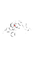 CC[C@]1(CO)O[C@@H](n2cnc3c(=O)[nH]c(NC(c4ccccc4)(c4ccccc4)c4ccc(OC)cc4)nc32)[C@H](F)[C@@H]1C